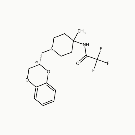 CC1(NC(=O)C(F)(F)F)CCN(C[C@H]2COc3ccccc3O2)CC1